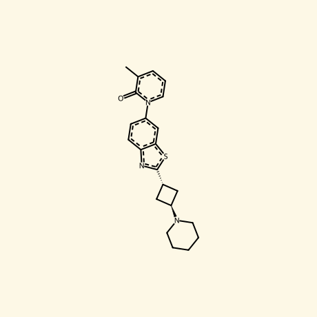 Cc1cccn(-c2ccc3nc([C@H]4C[C@H](N5CCCCC5)C4)sc3c2)c1=O